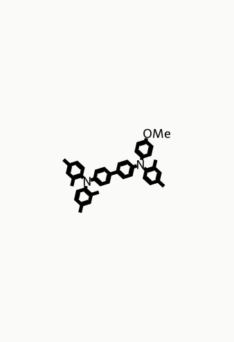 COc1ccc(N(c2ccc(-c3ccc(N(c4ccc(C)cc4C)c4ccc(C)cc4C)cc3)cc2)c2ccc(C)cc2C)cc1